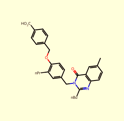 CCCCc1nc2ccc(C)cc2c(=O)n1Cc1ccc(OCc2ccc(C(=O)O)cc2)c(CCC)c1